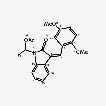 COc1ccc(OC)c(C=C2C(=O)N(C(C)OC(C)=O)c3ccccc32)c1